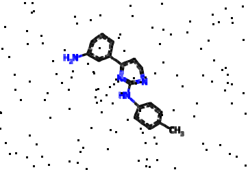 Cc1ccc(Nc2nccc(-c3cccc(N)c3)n2)cc1